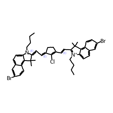 CCCCN1/C(=C/C=C2\CCC(/C=C/C3=[N+](CCCC)c4ccc5cc(Br)ccc5c4C3(C)C)=C2Cl)C(C)(C)c2c1ccc1cc(Br)ccc21